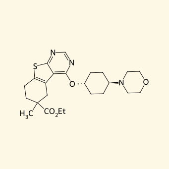 CCOC(=O)C1(C)CCc2sc3ncnc(O[C@H]4CC[C@H](N5CCOCC5)CC4)c3c2C1